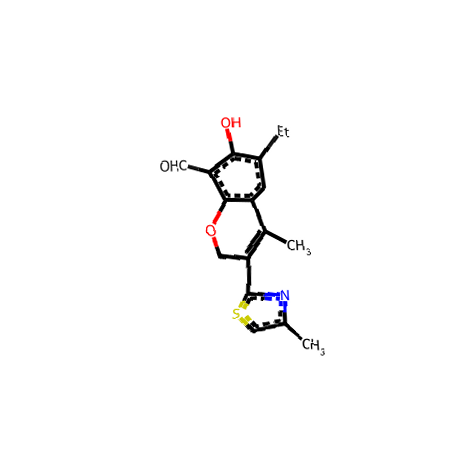 CCc1cc2c(c(C=O)c1O)OCC(c1nc(C)cs1)=C2C